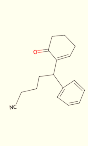 N#CCCCC(C1=CCCCC1=O)c1ccccc1